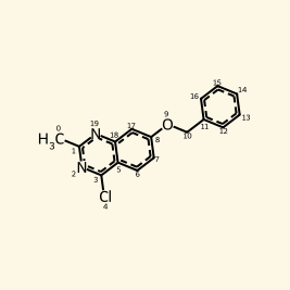 Cc1nc(Cl)c2ccc(OCc3ccccc3)cc2n1